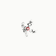 CCC1(CC2=Cc3c(-c4ccc(C(C)(C)C)cc4)cccc3[CH]2[Zr]([Cl])([Cl])([CH]2C(CC3(CC)CC=CCC3)=Cc3c(-c4ccc(C(C)(C)C)cc4)cccc32)[SiH](C)C)CC=CCC1